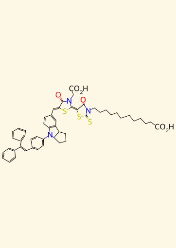 O=C(O)CCCCCCCCCCCN1C(=O)C(=c2sc(=Cc3ccc4c(c3)C3CCCC3N4c3ccc(C=C(c4ccccc4)c4ccccc4)cc3)c(=O)n2CC(=O)O)SC1=S